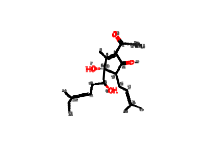 CCC(C)C(=O)C1=C(C)[C@](O)(C(O)CC=C(C)C)C(CC=C(C)C)C1=O